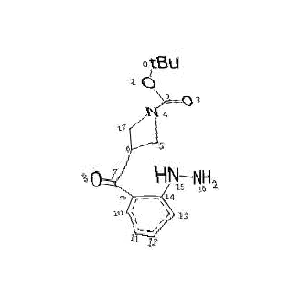 CC(C)(C)OC(=O)N1CC(C(=O)c2ccccc2NN)C1